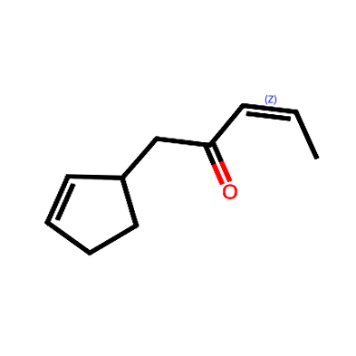 C/C=C\C(=O)CC1C=CCC1